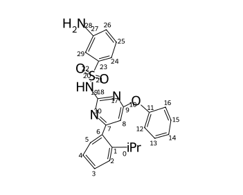 CC(C)c1ccccc1-c1cc(Oc2ccccc2)nc(NS(=O)(=O)c2cccc(N)c2)n1